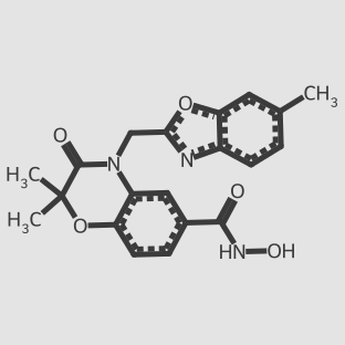 Cc1ccc2nc(CN3C(=O)C(C)(C)Oc4ccc(C(=O)NO)cc43)oc2c1